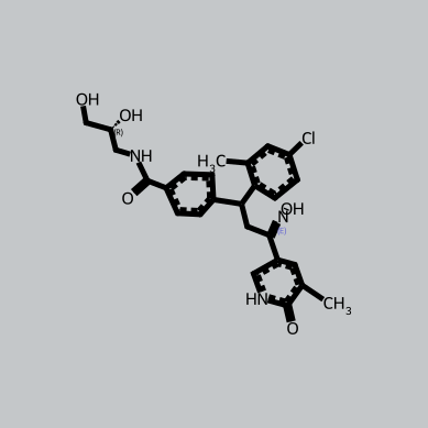 Cc1cc(Cl)ccc1C(C/C(=N\O)c1c[nH]c(=O)c(C)c1)c1ccc(C(=O)NC[C@@H](O)CO)cc1